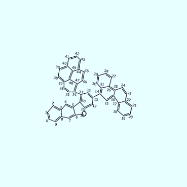 c1ccc2cc3c(cc2c1)oc1cc(-c2cc4c5ccccc5ccc4c4ccccc24)cc(-c2ccc4ccc5cccc6ccc2c4c56)c13